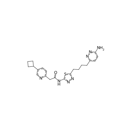 Nc1ccc(CCCCc2nnc(NC(=O)Cc3ccc(C4CCC4)cn3)s2)nn1